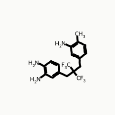 Cc1ccc(CC(Cc2ccc(N)c(N)c2)(C(F)(F)F)C(F)(F)F)cc1N